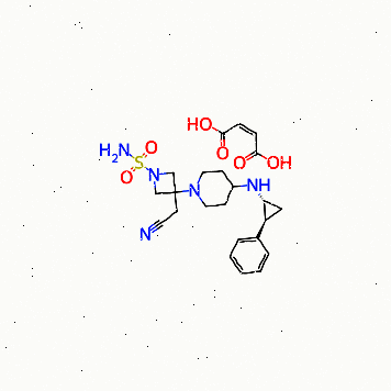 N#CCC1(N2CCC(N[C@@H]3C[C@H]3c3ccccc3)CC2)CN(S(N)(=O)=O)C1.O=C(O)/C=C\C(=O)O